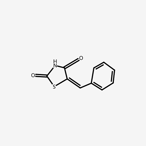 O=C1NC(=O)/C(=C\c2ccccc2)S1